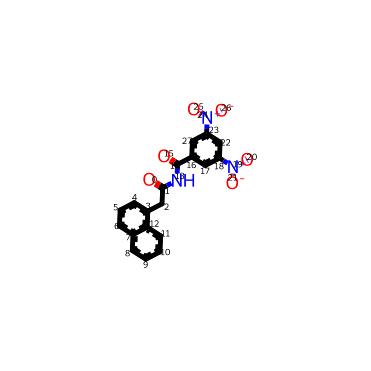 O=C(Cc1cccc2ccccc12)NC(=O)c1cc([N+](=O)[O-])cc([N+](=O)[O-])c1